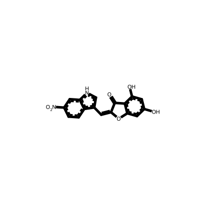 O=C1/C(=C\c2c[nH]c3cc([N+](=O)[O-])ccc23)Oc2cc(O)cc(O)c21